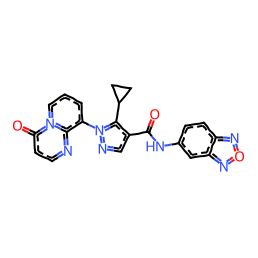 O=C(Nc1ccc2nonc2c1)c1cnn(-c2cccn3c(=O)ccnc23)c1C1CC1